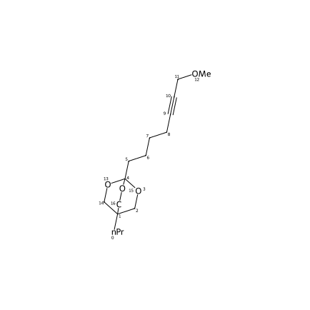 CCCC12COC(CCCCC#CCOC)(OC1)OC2